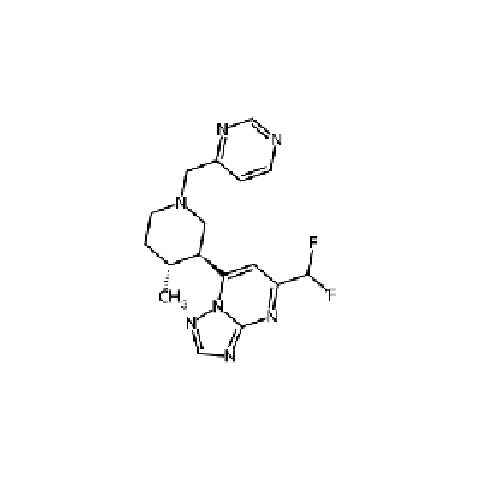 C[C@@H]1CCN(Cc2ccncn2)C[C@H]1c1cc(C(F)F)nc2ncnn12